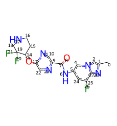 Cc1cn2cc(NC(=O)c3cnc(OC4CCNCC4(F)F)cn3)cc(F)c2n1